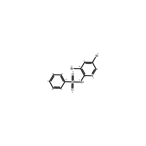 O=S(=O)(Nc1ncc(Br)cc1Br)c1ccccc1